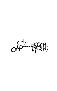 C=CCc1c(OCCCCCCNC(=O)OC(C)(C)C)ccc2c1CCCC2